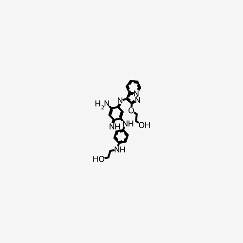 N=C1C=C(N)C(=Nc2c(OCCO)nn3ccccc23)C=C1Nc1ccc(NCCO)cc1